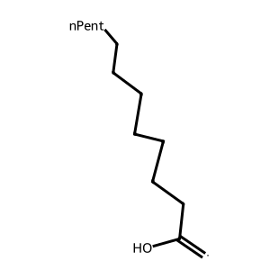 [CH]=C(O)CCCCCCCCCCCC